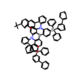 CC(C)(C)c1cccc(-c2cc3c4c(c2)N(c2ccccc2-c2ccccc2)c2cc([Si](c5ccccc5)(c5ccccc5)c5cccc(-c6ccccc6)c5)ccc2B4c2ccc([Si](c4ccccc4)(c4ccccc4)c4cccc(-c5ccccc5)c4)cc2N3c2ccccc2-c2ccccc2)c1